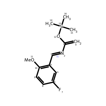 C=C(/N=C/c1cc(F)ccc1OC)O[Si](C)(C)C